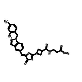 COC(=O)CCNC(=O)C1CN(C2=NC(=O)/C(=C/c3ccc4c(cnn4Cc4ccc(C(F)(F)F)cc4C(F)(F)F)c3)S2)C1